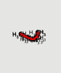 Cc1cc(C(C)(C)c2ccc(OC(=O)Oc3ccc(C(C)(C)c4ccc(OC(=O)c5ccc(-c6ccc(C(=O)Oc7ccc(C(C)(C)C)cc7)cc6)cc5)c(C)c4)cc3C)c(C)c2)ccc1OC(=O)Oc1ccc(C(C)(C)C)cc1